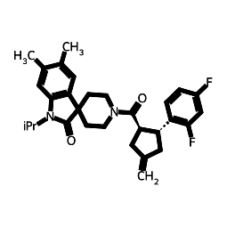 C=C1C[C@@H](C(=O)N2CCC3(CC2)C(=O)N(C(C)C)c2cc(C)c(C)cc23)[C@H](c2ccc(F)cc2F)C1